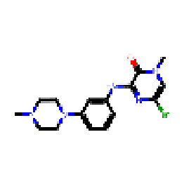 CN1CCN(c2cccc(Nc3nc(Br)cn(C)c3=O)c2)CC1